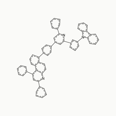 c1ccc(-c2cc(-c3ccc(-c4cccc5c4ccc4nc(-c6ccccc6)cc(-c6ccccc6)c45)cc3)cc(-c3cccc(-n4c5ccccc5c5ccccc54)c3)n2)cc1